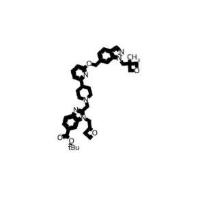 CC1(Cn2ncc3ccc(COc4cccc(C5CCN(Cc6nc7ccc(C(=O)OC(C)(C)C)cc7n6CC6CCO6)CC5)n4)cc32)COC1